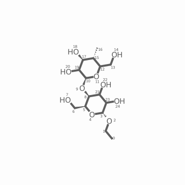 CCO[C@@H]1O[C@@H](CO)[C@@H](O[C@@H]2OC(CO)[C@@H](C)[C@H](O)C2O)C(O)C1O